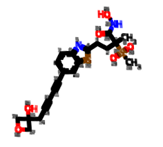 CC(CCc1nc2ccc(C#CC#CCC3(O)COC3)cc2s1)(C(=O)NO)S(C)(=O)=O